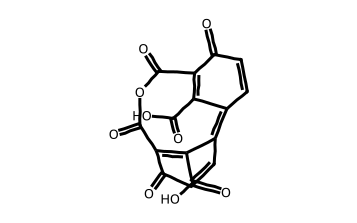 O=C(O)C1=C2C(=O)C=CC1=C1C=CC(=O)C(=C1C(=O)O)C(=O)OC2=O